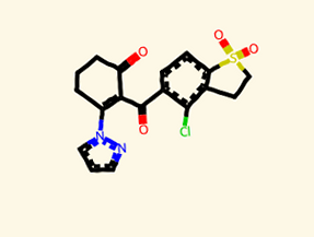 O=C1CCCC(n2cccn2)=C1C(=O)c1ccc2c(c1Cl)CCS2(=O)=O